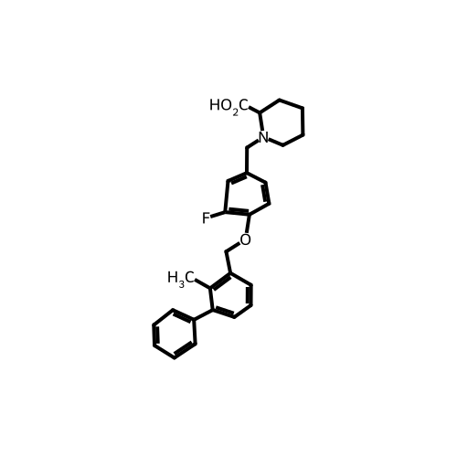 Cc1c(COc2ccc(CN3CCCCC3C(=O)O)cc2F)cccc1-c1ccccc1